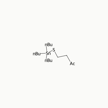 CCC[CH2][Sn]([CH2]CCC)([CH2]CCC)[S]CCC(C)=O